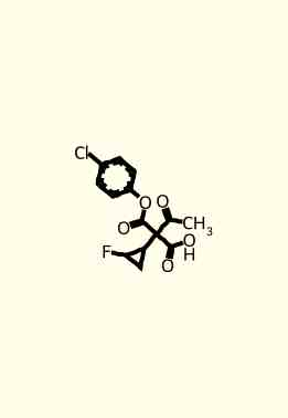 CC(=O)C(C(=O)O)(C(=O)Oc1ccc(Cl)cc1)C1CC1F